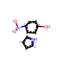 O=[N+]([O-])c1ccc(O)cc1.c1cc[nH]c1